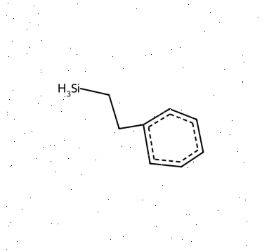 [SiH3]CCc1ccccc1